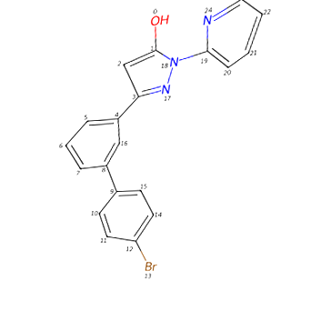 Oc1cc(-c2cccc(-c3ccc(Br)cc3)c2)nn1-c1ccccn1